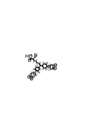 N#C/C(=C\C=C\C=C(c1ccc(N2CCS(=O)(=O)CC2)cc1)c1ccc(N2CCS(=O)(=O)CC2)cc1)C(=O)O